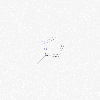 Clc1cc[c][nH]1